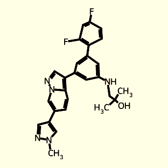 Cn1cc(-c2ccc3c(-c4cc(NCC(C)(C)O)cc(-c5ccc(F)cc5F)c4)cnn3c2)cn1